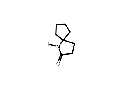 O=C1CCC2(CCCC2)N1I